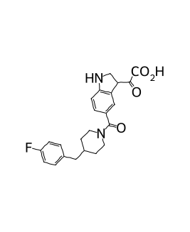 O=C(O)C(=O)C1CNc2ccc(C(=O)N3CCC(Cc4ccc(F)cc4)CC3)cc21